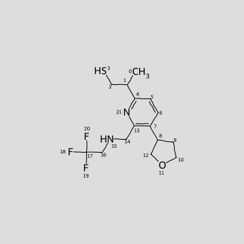 CC(CS)c1ccc(C2CCOC2)c(CNCC(F)(F)F)n1